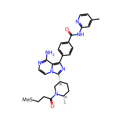 CSCCC(=O)N1C[C@H](c2nc(-c3ccc(C(=O)Nc4cc(C)ccn4)cc3)c3c(N)nccn23)CC[C@@H]1C